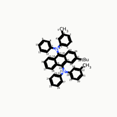 Cc1cccc(N(c2ccccc2)c2c3ccccc3c(N(c3ccccc3)c3cccc(C)c3)c3cc(C(C)(C)C)ccc23)c1